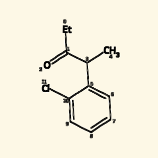 CCC(=O)C(C)c1ccccc1Cl